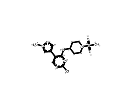 Cn1cc(-c2cnc(Cl)nc2NC2CCN(S(C)(=O)=O)CC2)cn1